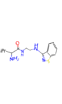 CC(C)C(N)C(=O)NCCNc1nsc2ccccc12